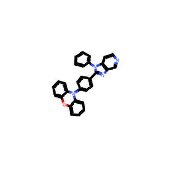 c1ccc(-n2c(-c3ccc(N4c5ccccc5Oc5ccccc54)cc3)nc3cnccc32)cc1